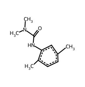 Cc1ccc(C)c(NC(=O)N(C)C)c1